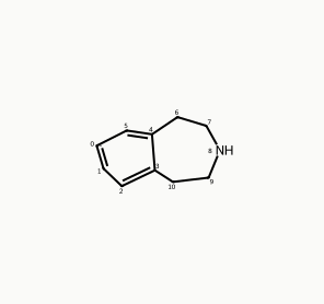 [c]1ccc2c(c1)CCNCC2